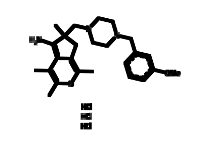 COc1cccc(CN2CCN(CC3(C)CC4=C(C)OC(C)=C(C)C4=C3N)CC2)c1.Cl.Cl.Cl